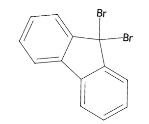 BrC1(Br)c2ccccc2-c2ccccc21